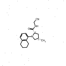 C[C@H]1C[C@@H](C(=O)NCC#N)N(c2cccc3c2CCCC3)C1